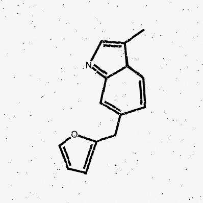 CC1=CN=C2C=C(Cc3ccco3)C=CC12